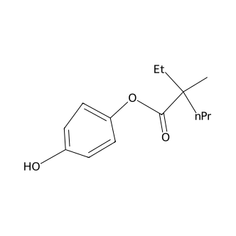 CCCC(C)(CC)C(=O)Oc1ccc(O)cc1